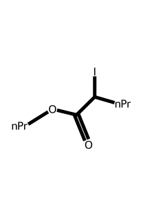 CCCOC(=O)C(I)CCC